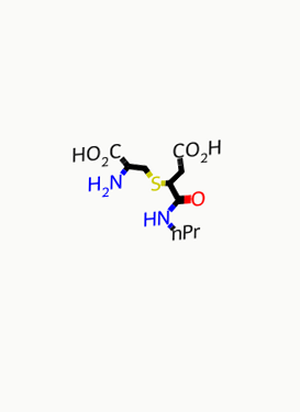 CCCNC(=O)C(CC(=O)O)SCC(N)C(=O)O